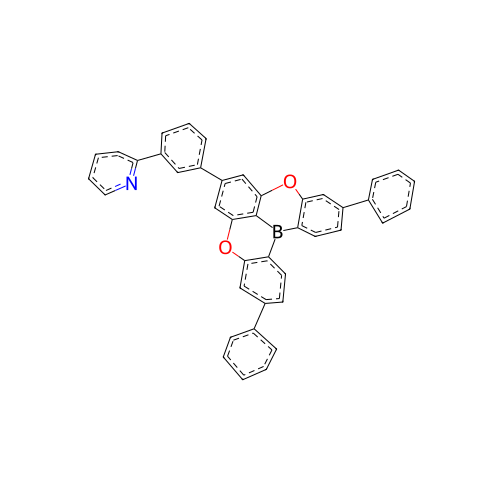 c1ccc(-c2ccc3c(c2)Oc2cc(-c4cccc(-c5ccccn5)c4)cc4c2B3c2ccc(-c3ccccc3)cc2O4)cc1